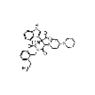 CCc1ccccc1CN(C(C)=O)C(=O)C(N1CCC(N2CCCCC2)CC1)C(N)(C(C)=O)c1c[nH]c2ccccc12